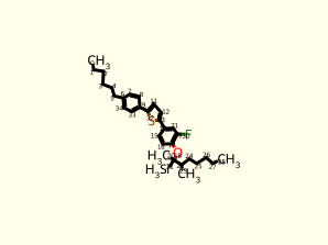 CCCCCCc1ccc(-c2ccc(-c3ccc(OC(C)([SiH3])C(C)CCCCC)c(F)c3)s2)cc1